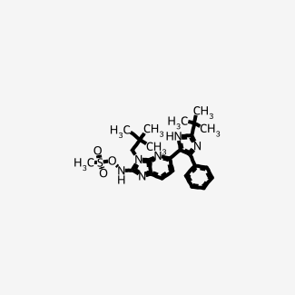 CC(C)(C)Cn1c(NOS(C)(=O)=O)nc2ccc(-c3[nH]c(C(C)(C)C)nc3-c3ccccc3)nc21